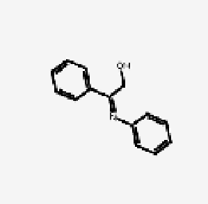 OCC(=Nc1ccccc1)c1ccccc1